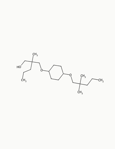 CCCC(C)(C)COC1CCC(OCC(C)(CO)CCC)CC1